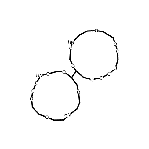 C1COCCOCCNCCOC(C2COCCOCCOCCOCCNCCO2)COCCN1